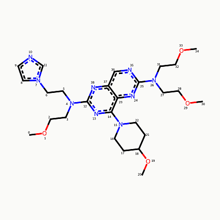 COCCN(CCn1ccnc1)c1nc(N2CCC(OC)CC2)c2nc(N(CCOC)CCOC)ncc2n1